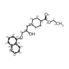 CCOC(=O)C1CCN(CC(O)COc2cccc3ncccc23)CC1